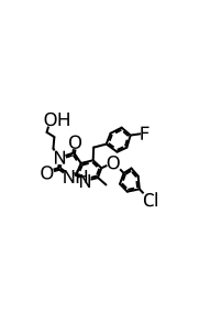 Cc1nc2[nH]c(=O)n(CCCO)c(=O)c2c(Cc2ccc(F)cc2)c1Oc1ccc(Cl)cc1